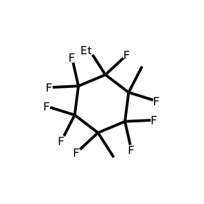 CCC1(F)C(C)(F)C(F)(F)C(C)(F)C(F)(F)C1(F)F